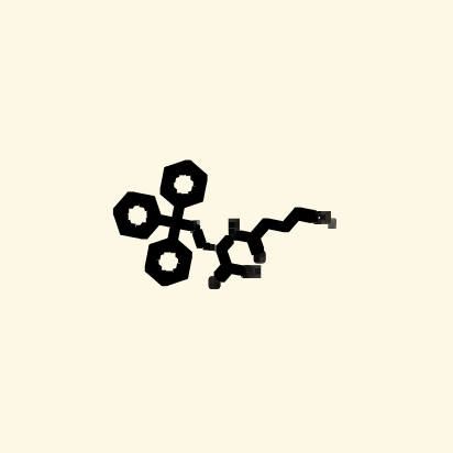 C=CCCC(=O)N[C@@H](CSC(c1ccccc1)(c1ccccc1)c1ccccc1)C(=O)O